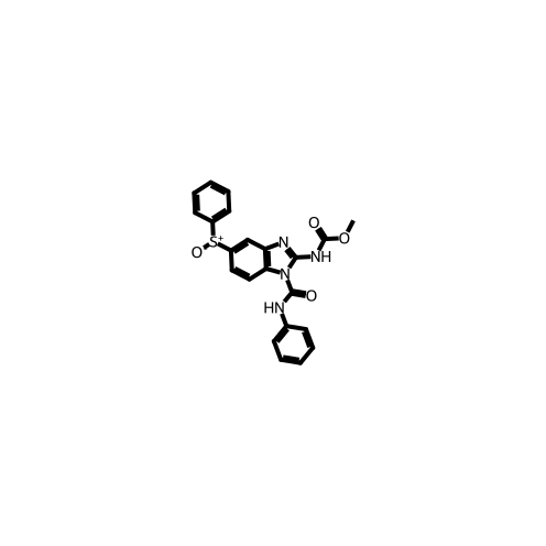 COC(=O)Nc1nc2cc([S+]([O-])c3ccccc3)ccc2n1C(=O)Nc1ccccc1